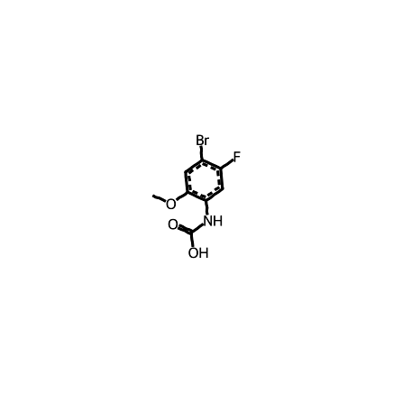 COc1cc(Br)c(F)cc1NC(=O)O